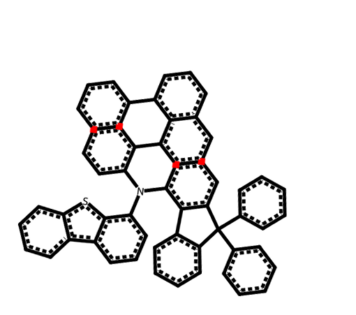 c1ccc(-c2cccc3cccc(-c4ccccc4N(c4cccc5c4-c4ccccc4C5(c4ccccc4)c4ccccc4)c4cccc5c4sc4ccccc45)c23)cc1